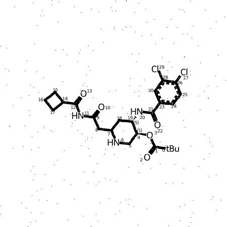 CC(C)(C)C(=O)O[C@H]1CNC(CC(=O)NC(=O)C2CCC2)C[C@@H]1NC(=O)c1ccc(Cl)c(Cl)c1